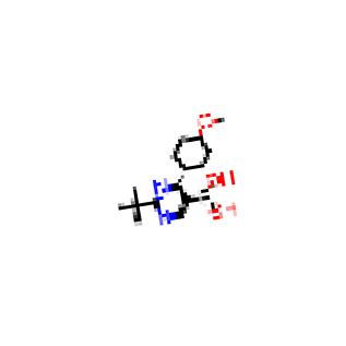 CO[C@H]1CC[C@H](c2nc(C(C)(C)C)ncc2B(O)O)CC1